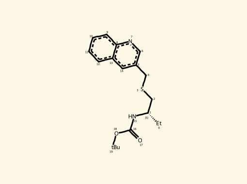 CC[C@@H](CSCc1cnc2ccccc2c1)NC(=O)OC(C)(C)C